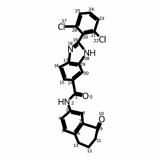 O=C(Nc1ccc2c(c1)C(=O)CCC2)c1ccc2nc(-c3c(Cl)cccc3Cl)[nH]c2c1